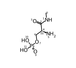 CNC(=O)[C@@H](N)COP(=O)(O)O